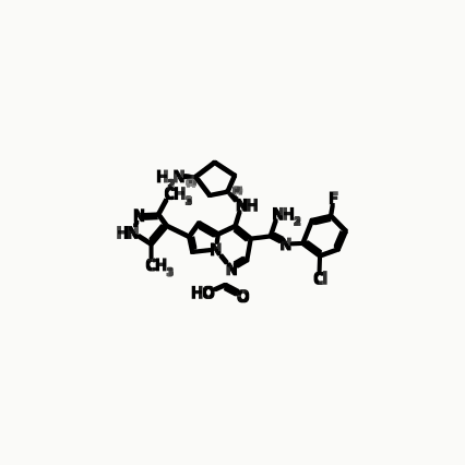 Cc1n[nH]c(C)c1-c1cc2c(N[C@@H]3CC[C@H](N)C3)c(C(N)=Nc3cc(F)ccc3Cl)cnn2c1.O=CO